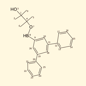 CC(C)(O)C(C)(C)OBc1cc(-c2ccccc2)cc(-c2ccccc2)c1